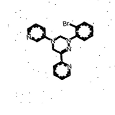 Brc1ccccc1N1CN(c2cccnc2)CC(c2ccccn2)=N1